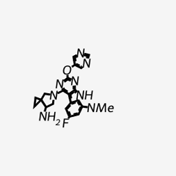 CNc1cc(F)cc2c1[nH]c1nc(Oc3cncnc3)nc(N3CC(N)C4(CC4)C3)c12